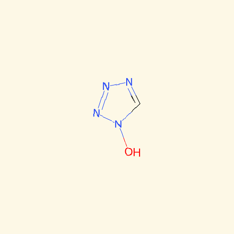 On1cnnn1